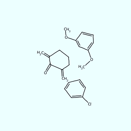 C=C1CCCC(=C)C1=O.COc1cccc(OC)c1.Clc1ccccc1